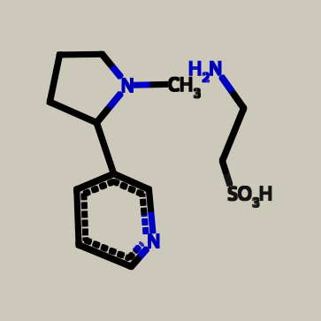 CN1CCCC1c1cccnc1.NCCS(=O)(=O)O